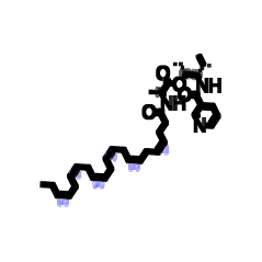 [CH2][C@@H](OC(=O)[C@H](C)NC(=O)CC/C=C\C/C=C\C/C=C\C/C=C\C/C=C\C/C=C\CC)[C@H]([CH]C)NC(=O)c1cccnc1